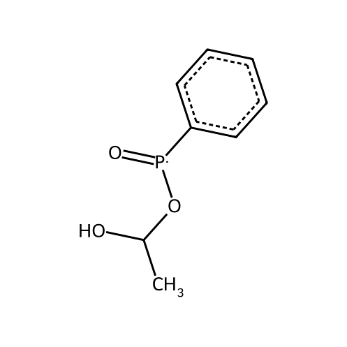 CC(O)O[P](=O)c1ccccc1